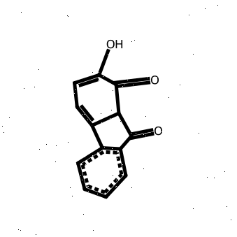 O=C1C(O)=CC=C2c3ccccc3C(=O)C12